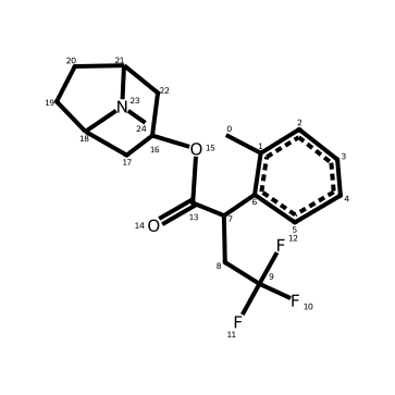 Cc1ccccc1C(CC(F)(F)F)C(=O)OC1CC2CCC(C1)N2C